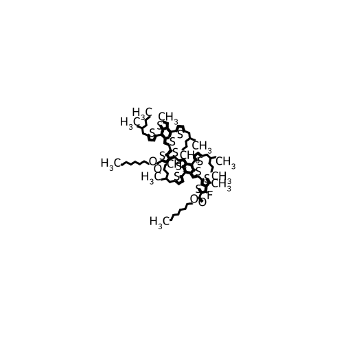 CCCCCCCCOC(=O)c1cc2c(-c3cc4c(-c5ccc(CC(CC)CCCC)s5)c5sc(-c6sc(C)c7c(F)c(C(=O)OCCCCCCCC)sc67)cc5c(-c5ccc(CC(CC)CCCC)s5)c4s3)sc(-c3cc4c(-c5ccc(CC(CC)CCCC)s5)c5sc(C)cc5c(-c5ccc(CC(CC)CCCC)s5)c4s3)c2s1